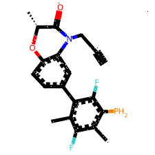 C#CCN1C(=O)[C@@H](C)Oc2ccc(-c3c(C)c(F)c(C)c(P)c3F)cc21